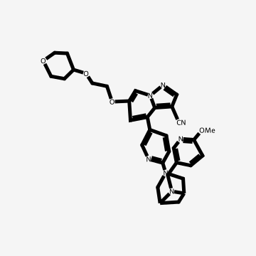 COc1ccc(CN2C3CC2CN(c2ccc(-c4cc(OCCOC5CCOCC5)cn5ncc(C#N)c45)cn2)C3)cn1